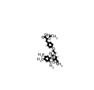 CCOC(Cc1ccc(OCCN(CC(CC)CC)C(=O)Nc2cc(C)c(C)cc2C)cc1)C(=O)O